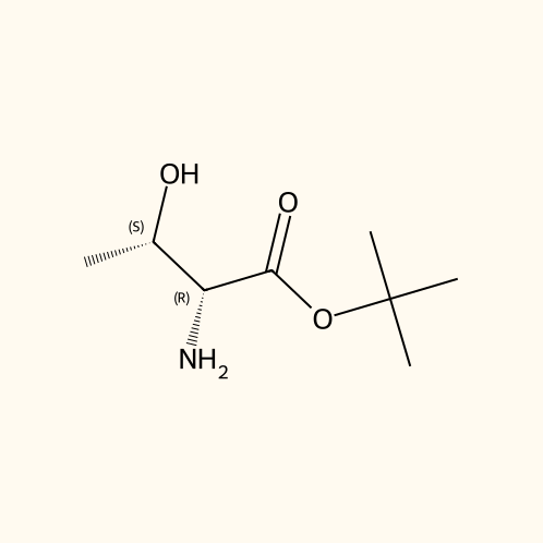 C[C@H](O)[C@@H](N)C(=O)OC(C)(C)C